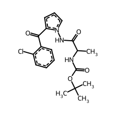 CC(NC(=O)OC(C)(C)C)C(=O)Nn1cccc1C(=O)c1ccccc1Cl